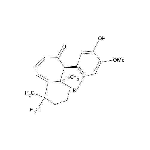 COc1cc(Br)c([C@@H]2C(=O)C=CC=C3C(C)(C)CCC[C@@]32C)cc1O